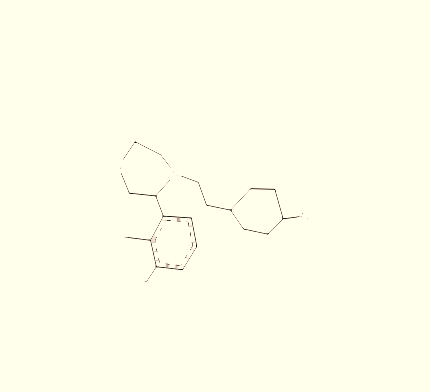 Cl.Cl.NC1CCC(CCN2CCNCC2c2cccc(Cl)c2Cl)CC1.O